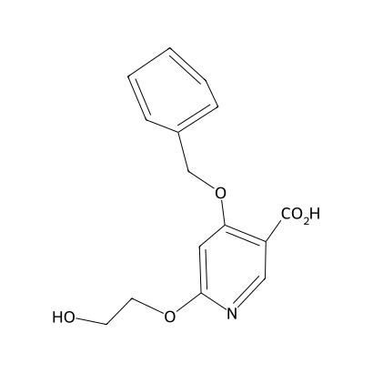 O=C(O)c1cnc(OCCO)cc1OCc1ccccc1